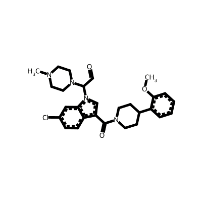 COc1ccccc1C1CCN(C(=O)c2cn(C(C=O)N3CCN(C)CC3)c3cc(Cl)ccc23)CC1